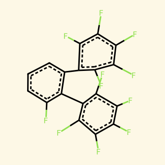 Fc1cccc(-c2c(F)c(F)c(F)c(F)c2F)c1-c1c(F)c(F)c(F)c(F)c1F